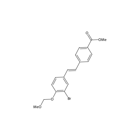 COCOc1ccc(C=Cc2ccc(C(=O)OC)cc2)cc1Br